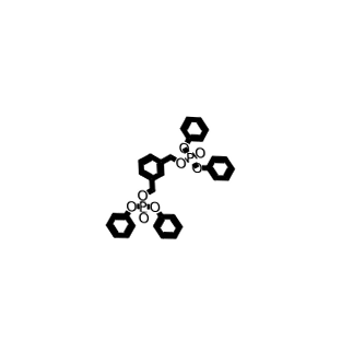 O=P(OCc1cccc(COP(=O)(Oc2ccccc2)Oc2ccccc2)c1)(Oc1ccccc1)Oc1ccccc1